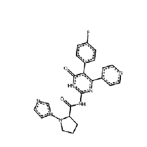 O=C(Nc1nc(-c2ccncc2)c(-c2ccc(F)cc2)c(=O)[nH]1)C1CCCN1n1ccnc1